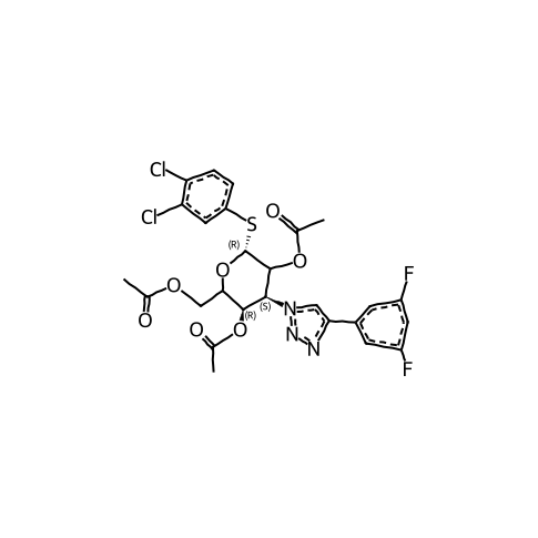 CC(=O)OCC1O[C@H](Sc2ccc(Cl)c(Cl)c2)C(OC(C)=O)[C@@H](n2cc(-c3cc(F)cc(F)c3)nn2)[C@H]1OC(C)=O